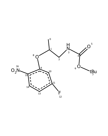 CC(CNC(=O)OC(C)(C)C)Oc1cc(F)ccc1[N+](=O)[O-]